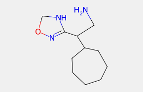 NCC(C1=NOCN1)C1CCCCCC1